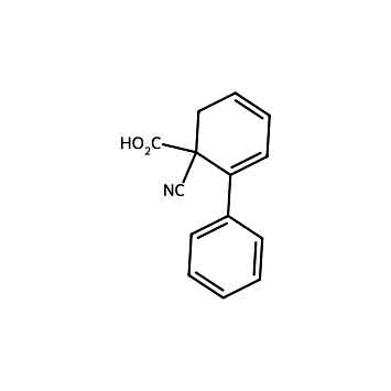 N#CC1(C(=O)O)CC=CC=C1c1ccccc1